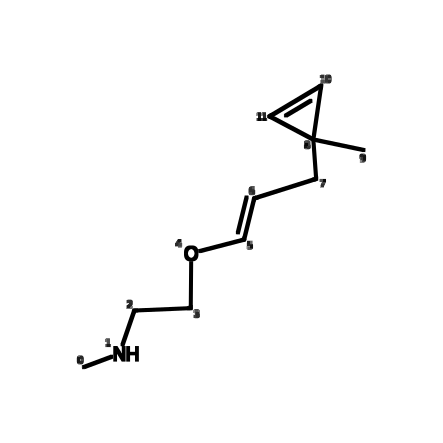 CNCCO/C=C/CC1(C)C=C1